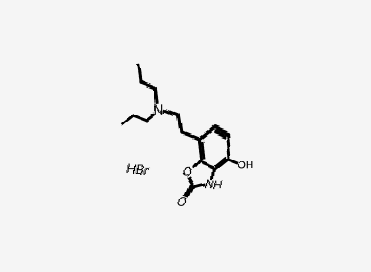 Br.CCCN(CCC)CCc1ccc(O)c2[nH]c(=O)oc12